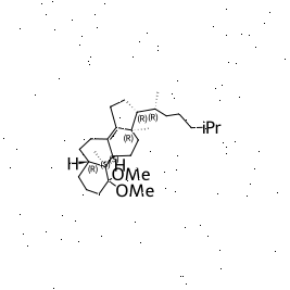 COC1(OC)CCC[C@@H]2CCC3=C4CC[C@H]([C@H](C)CCCC(C)C)[C@@]4(C)CC[C@@H]3[C@]21C